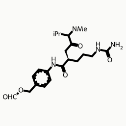 CNC(C(=O)C[C@@H](CCCNC(N)=O)C(=O)Nc1ccc(COC=O)cc1)C(C)C